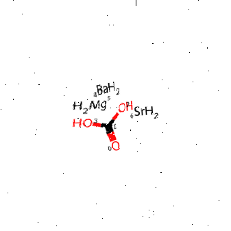 O=C(O)O.[BaH2].[MgH2].[SrH2]